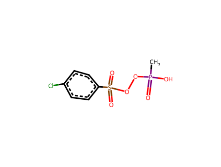 CP(=O)(O)OOS(=O)(=O)c1ccc(Cl)cc1